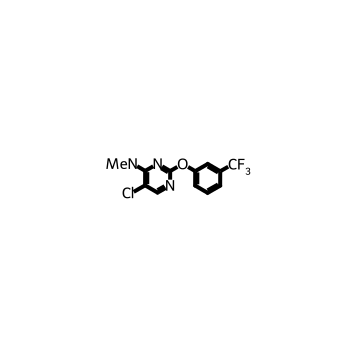 CNc1nc(Oc2cccc(C(F)(F)F)c2)ncc1Cl